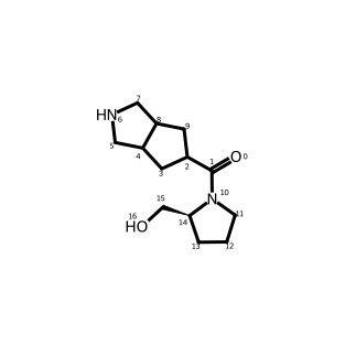 O=C(C1CC2CNCC2C1)N1CCC[C@H]1CO